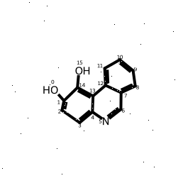 Oc1ccc2ncc3ccccc3c2c1O